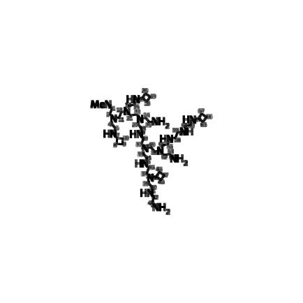 CNCCN(CCNC1CCC1)CCN(CCNC1CCC1)CCN(CCN)CCNCCN(CCNCCN(CCNCCN)C1CCC1)CCN(CCN)CCNCCNCCNC1CCC1